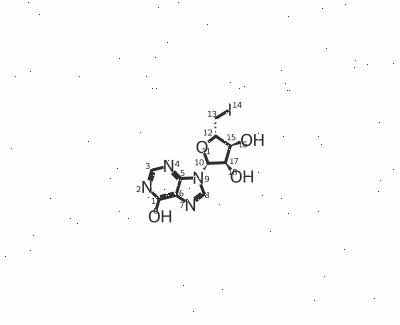 Oc1ncnc2c1ncn2[C@@H]1O[C@H](CI)[C@@H](O)[C@H]1O